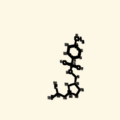 Cc1ccc(S(=O)(=O)OC[C@H]2CCN(CC(F)F)C2)cc1